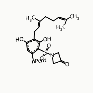 CCCCCc1cc(O)c(C/C=C(\C)CCC=C(C)C)c(O)c1S(=O)(=O)N1CC(=O)C1